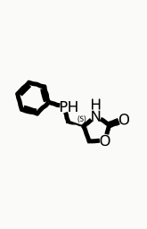 O=C1N[C@H](CPc2ccccc2)CO1